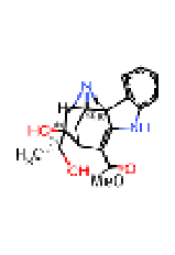 COC(=O)C1=C2Nc3ccccc3[C@@]23CCN2C[C@@](O)([C@@H](C)O)C1C[C@H]23